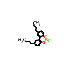 CCCCc1ccc2op(Cl)oc3ccc(CCCC)cc3c2c1